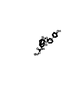 CC(C)(C)OC(=O)NC12CC3C[C@H](C1)C1(OO[C@@]4(CCC[C@@H](c5ccc(O)cc5)C4)O1)[C@@H](C3)C2